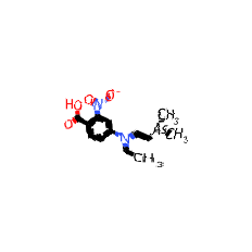 CCN(CC[As](C)C)c1ccc(C(=O)O)c([N+](=O)[O-])c1